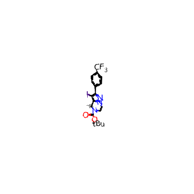 C[C@@H]1c2c(I)c(-c3ccc(C(F)(F)F)cc3)nn2CCN1C(=O)OC(C)(C)C